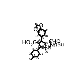 CC1CCC(C2C(C(=O)O)C(c3ccc4c(c3)OCO4)CN2C)CC1.CCCCN(C=O)CCCC